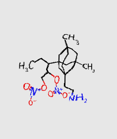 CCC(C(CO[N+](=O)[O-])O[N+](=O)[O-])C12CC3(C)CC(C)(CC(CCN)(C3)C1)C2